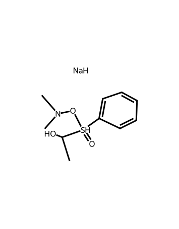 CC(O)[SH](=O)(ON(C)C)c1ccccc1.[NaH]